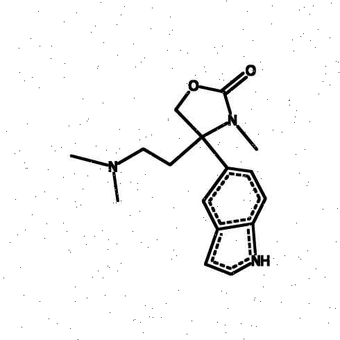 CN(C)CCC1(c2ccc3[nH]ccc3c2)COC(=O)N1C